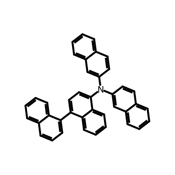 c1ccc2cc(N(c3ccc4ccccc4c3)c3ccc(-c4cccc5ccccc45)c4ccccc34)ccc2c1